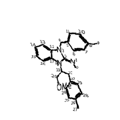 CN=c1n(Cc2ccc(C)cc2)c2ccccc2n1[C@H](COC)Cc1ccc(C)cc1